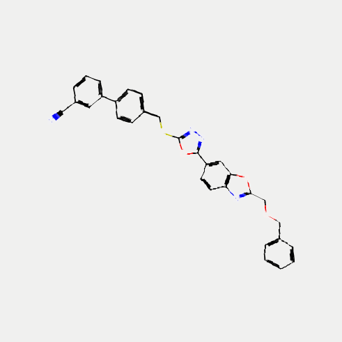 N#Cc1cccc(-c2ccc(CSc3nnc(-c4ccc5nc(COCc6ccccc6)oc5c4)o3)cc2)c1